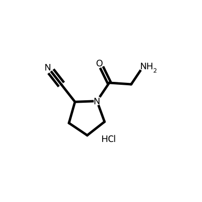 Cl.N#CC1CCCN1C(=O)CN